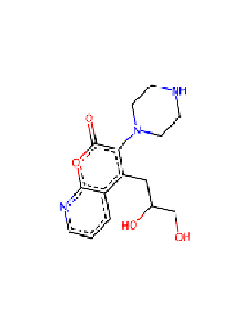 O=c1oc2ncccc2c(CC(O)CO)c1N1CCNCC1